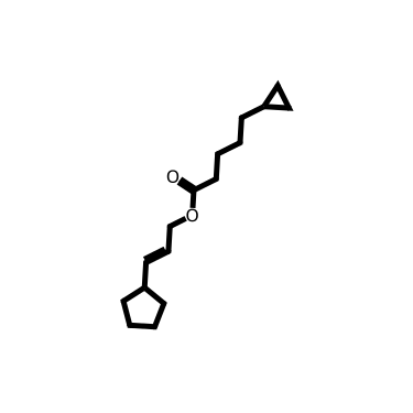 O=C(CCCCC1CC1)OC/C=C/C1CCCC1